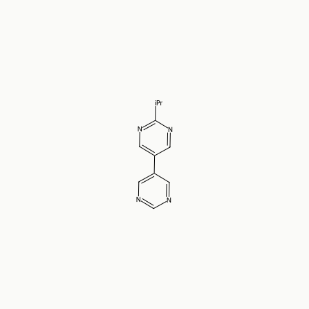 CC(C)c1ncc(-c2cncnc2)cn1